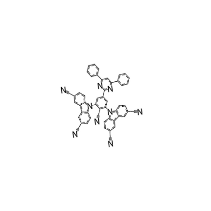 N#Cc1ccc2c(c1)c1cc(C#N)ccc1n2-c1cc(-c2nc(-c3ccccc3)cc(-c3ccccc3)n2)cc(-n2c3ccc(C#N)cc3c3cc(C#N)ccc32)c1C#N